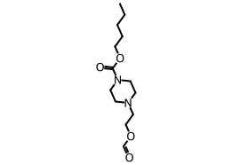 CCCCCOC(=O)N1CCN(CCOC=O)CC1